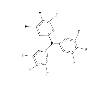 Fc1cc(B(c2cc(F)c(F)c(F)c2)c2cc(F)c(F)c(F)c2)cc(F)c1F